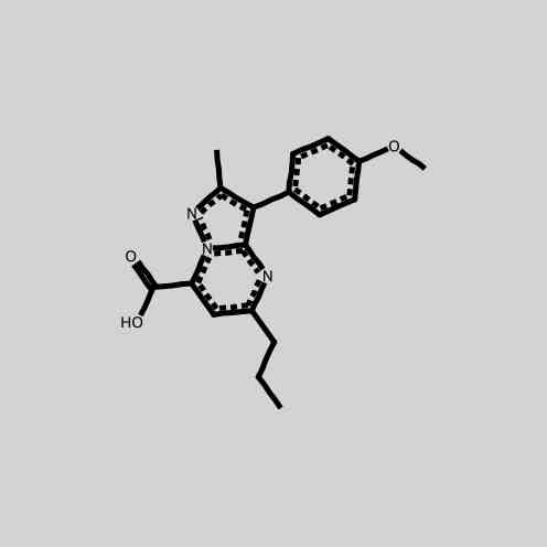 CCCc1cc(C(=O)O)n2nc(C)c(-c3ccc(OC)cc3)c2n1